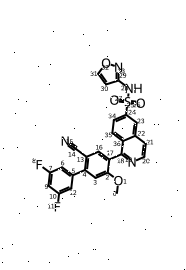 COc1cc(-c2cc(F)cc(F)c2)c(C#N)cc1-c1nccc2cc(S(=O)(=O)Nc3ccon3)ccc12